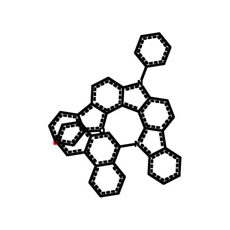 c1ccc(-n2c3ccc4c5ccccc5oc4c3c3c2ccc2c4ccccc4n(-c4cc5ccccc5c5ccccc45)c23)cc1